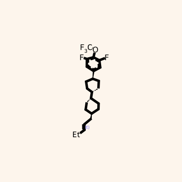 CC/C=C/C[C@H]1CC[C@H]([C@H]2CC[C@H](c3cc(F)c(OC(F)(F)F)c(F)c3)CC2)CC1